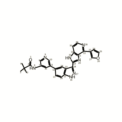 CC(C)(C)C(=O)Nc1cncc(-c2ccc3[nH]nc(-c4nc5c(-c6ccoc6)nccc5[nH]4)c3c2)c1